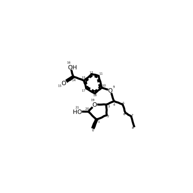 C=C1CC(C(CCCC)Oc2ccc(C(=O)O)cc2)OC1O